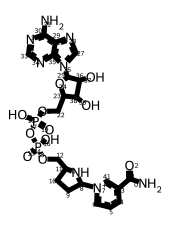 NC(=O)c1ccc[n+](C2CCC(COP(=O)(O)OP(=O)(O)OCC3OC(n4cnc5c(N)ncnc54)C(O)C3O)N2)c1